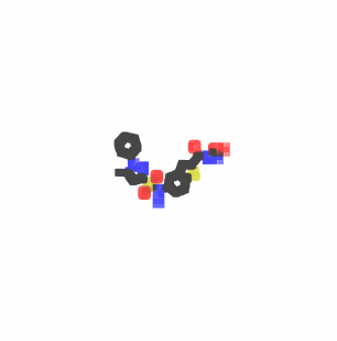 Cc1cc(S(=O)(=O)Nc2ccc3sc(C(=O)NO)cc3c2)nn1-c1ccccc1